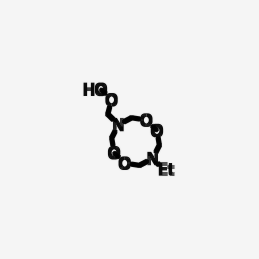 CCN1COOCN(COO)COOC1